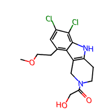 COCCc1cc(Cl)c(Cl)c2[nH]c3c(c12)CN(C(=O)CO)CC3